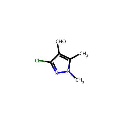 Cc1c(C=O)c(Cl)nn1C